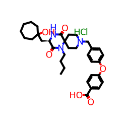 CCCCN1C(=O)[C@@H](CC2(O)CCCCCC2)NC(=O)C12CCN(Cc1ccc(Oc3ccc(C(=O)O)cc3)cc1)CC2.Cl